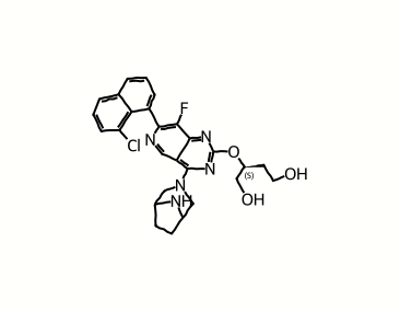 OCC[C@@H](CO)Oc1nc(N2CC3CCC(C2)N3)c2cnc(-c3cccc4cccc(Cl)c34)c(F)c2n1